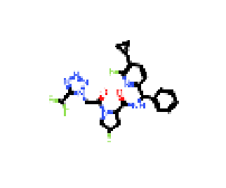 O=C(NC(c1ccccc1)c1ccc(C2CC2)c(F)n1)C1CC(F)CN1C(=O)Cn1nnnc1C(F)F